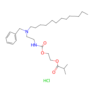 CCCCCCCCCCCCN(CCNC(=O)OCCOC(=O)C(C)C)Cc1ccccc1.Cl